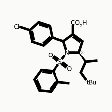 Cc1ccccc1S(=O)(=O)N1C(c2ccc(Cl)cc2)C(C(=O)O)=C[C@H]1C(C)CC(C)(C)C